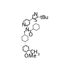 COc1ccc([C@H]2CC[C@H](CN(C(=O)C3CCCCC3)c3cc(-c4cnc(C(C)(C)C)s4)ccn3)CC2)cc1C